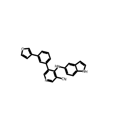 N#Cc1cncc(-c2cccc(-c3ccoc3)c2)c1Nc1ccc2[nH]ccc2c1